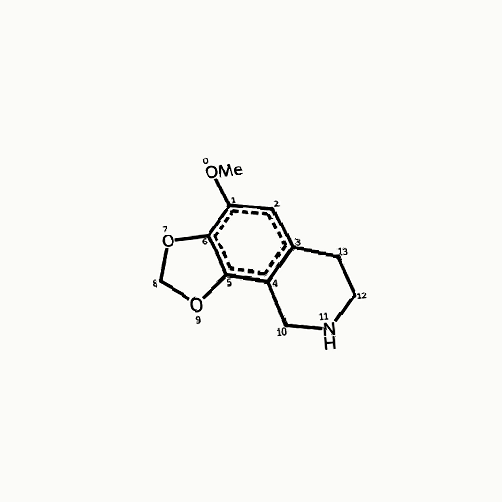 COc1cc2c(c3c1OCO3)CNCC2